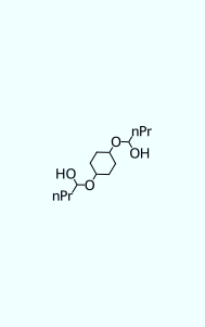 CCCC(O)OC1CCC(OC(O)CCC)CC1